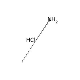 CCCCCCCCCCCCCCCCCCCCCCCCCCCCCN.Cl